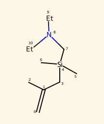 C=C(C)C[Si](C)(C)CN(CC)CC